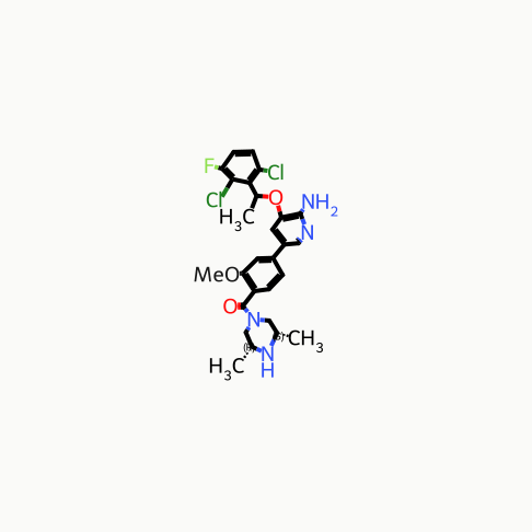 COc1cc(-c2cnc(N)c(OC(C)c3c(Cl)ccc(F)c3Cl)c2)ccc1C(=O)N1C[C@@H](C)N[C@@H](C)C1